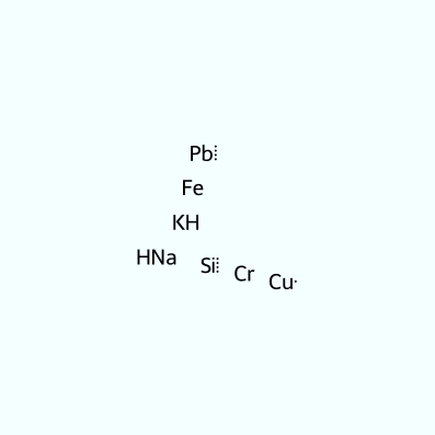 [Cr].[Cu].[Fe].[KH].[NaH].[Pb].[Si]